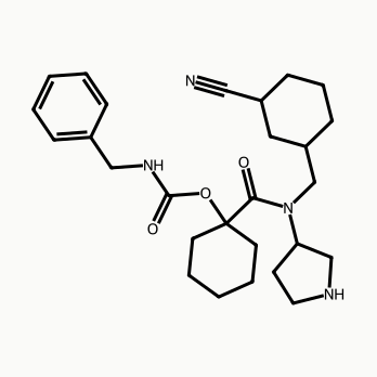 N#CC1CCCC(CN(C(=O)C2(OC(=O)NCc3ccccc3)CCCCC2)C2CCNC2)C1